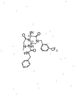 CC(C)[C@H]1C(=O)N(Cc2cccc(C(F)(F)F)c2)C[C@H]2N1C(=O)CN(C)N2C(=O)NCc1ccccc1